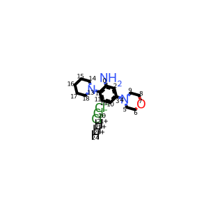 Nc1cc(N2CCOCC2)ccc1N1CCCCC1.[Cl-].[Cl-].[Cl-].[H+].[H+].[H+]